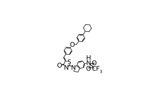 O=C1N=C(N2CCc3cc(NS(=O)(=O)C(F)(F)F)ccc32)S/C1=C\c1ccc(OCc2ccc(C3CCCCC3)cc2)cc1